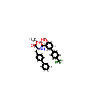 COC(=O)[C@H](Cc1ccc(-c2ccccc2)cc1)NC(=O)c1cc(-c2ccc(C(F)(F)F)cc2)ccc1O